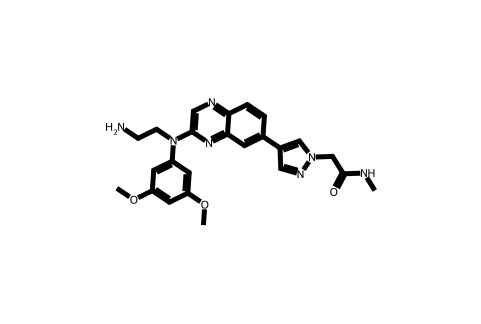 CNC(=O)Cn1cc(-c2ccc3ncc(N(CCN)c4cc(OC)cc(OC)c4)nc3c2)cn1